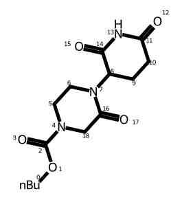 CCCCOC(=O)N1CCN(C2CCC(=O)NC2=O)C(=O)C1